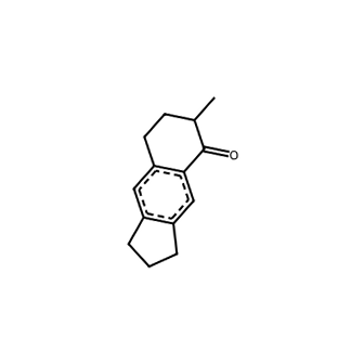 CC1CCc2cc3c(cc2C1=O)CCC3